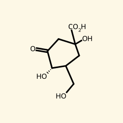 O=C1CC(O)(C(=O)O)CC(CO)[C@@H]1O